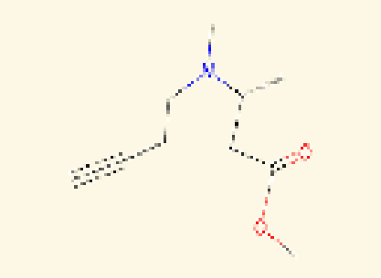 C#CCCN(C)[C@H](C)CC(=O)OC